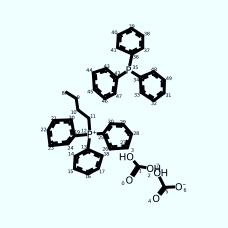 O=C(O)O.O=C([O-])O.[CH2]CCC[P+](c1ccccc1)(c1ccccc1)c1ccccc1.c1ccc(P(c2ccccc2)c2ccccc2)cc1